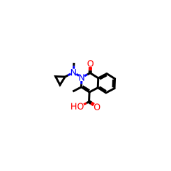 Cc1c(C(=O)O)c2ccccc2c(=O)n1N(C)C1CC1